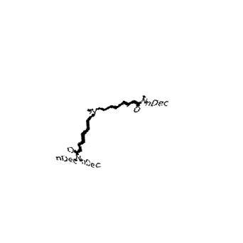 CCCCCCCCCCN(C)C(=O)CCCCCCCN(C)CCCCCCCC(=O)N(CCCCCCCCCC)CCCCCCCCCC